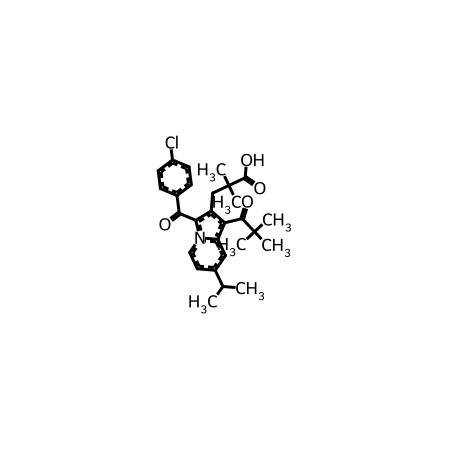 CC(C)c1ccn2c(C(=O)c3ccc(Cl)cc3)c(CC(C)(C)C(=O)O)c(C(=O)C(C)(C)C)c2c1